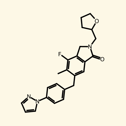 Cc1c(Cc2ccc(-n3cccn3)cc2)cc2c(c1F)CN(CC1CCCO1)C2=O